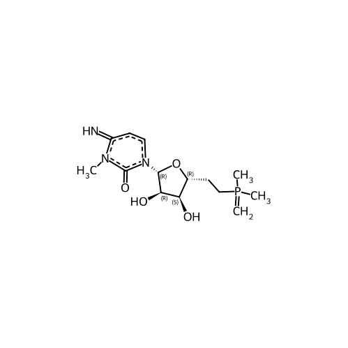 C=P(C)(C)CC[C@H]1O[C@@H](n2ccc(=N)n(C)c2=O)[C@H](O)[C@@H]1O